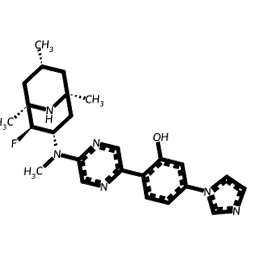 C[C@@H]1C[C@@]2(C)C[C@H](N(C)c3cnc(-c4ccc(-n5ccnc5)cc4O)cn3)[C@@H](F)[C@@](C)(C1)N2